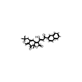 CC1(C)CC2=CC3=C(C(O)=CC(=O)c4ccc5ccccc5c4)C(=O)OC3(C)C(=O)C2=CO1